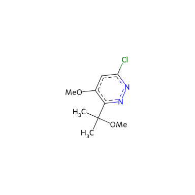 COc1cc(Cl)nnc1C(C)(C)OC